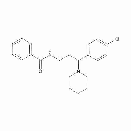 O=C(NCCC(c1ccc(Cl)cc1)N1CCCCC1)c1ccccc1